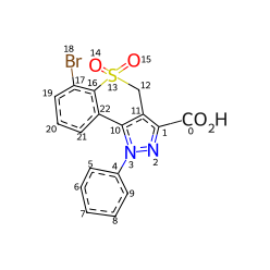 O=C(O)c1nn(-c2ccccc2)c2c1CS(=O)(=O)c1c(Br)cccc1-2